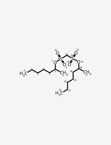 CCCCCC(C)OS(=O)(=O)CS(=O)(=O)OC(C)CCCCC